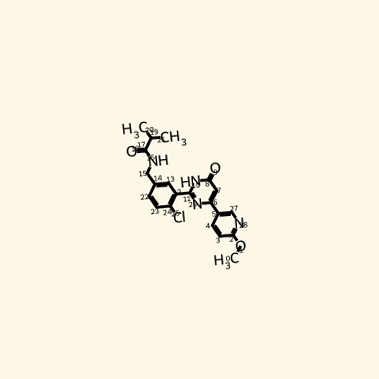 COc1ccc(-c2cc(=O)[nH]c(-c3cc(CNC(=O)C(C)C)ccc3Cl)n2)cn1